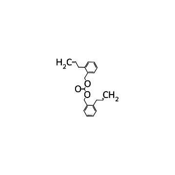 C=CCc1ccccc1COC(=O)OCc1ccccc1CC=C